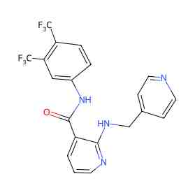 O=C(Nc1ccc(C(F)(F)F)c(C(F)(F)F)c1)c1cccnc1NCc1ccncc1